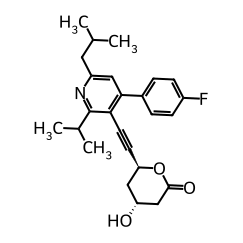 CC(C)Cc1cc(-c2ccc(F)cc2)c(C#C[C@@H]2C[C@@H](O)CC(=O)O2)c(C(C)C)n1